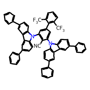 N#Cc1c(-n2c3ccc(-c4ccccc4)cc3c3cc(-c4ccccc4)ccc32)cc(-c2c(C(F)(F)F)cccc2C(F)(F)F)cc1-n1c2ccc(-c3ccccc3)cc2c2cc(-c3ccccc3)ccc21